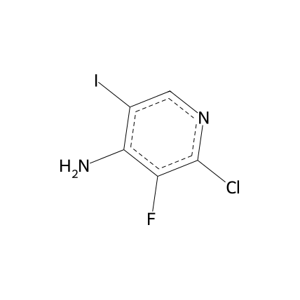 Nc1c(I)cnc(Cl)c1F